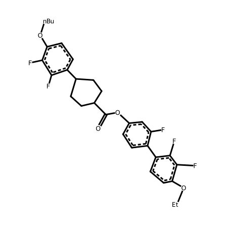 CCCCOc1ccc(C2CCC(C(=O)Oc3ccc(-c4ccc(OCC)c(F)c4F)c(F)c3)CC2)c(F)c1F